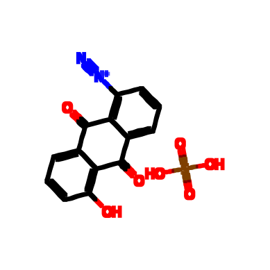 N#[N+]c1cccc2c1C(=O)c1cccc(O)c1C2=O.O=S(=O)(O)O